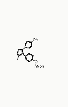 CCCCCCCCCOc1ccc(-n2c(C)ccc2-c2ccc(O)cc2)cc1